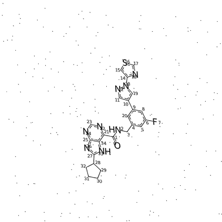 O=C(NCc1cc(F)cc(-c2cnn(-c3cscn3)c2)c1)c1ncnc2nc(C3CCCC3)[nH]c12